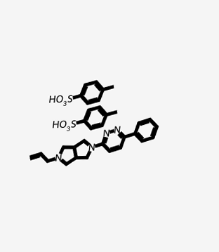 C=CCN1CC2CN(c3ccc(-c4ccccc4)nn3)CC2C1.Cc1ccc(S(=O)(=O)O)cc1.Cc1ccc(S(=O)(=O)O)cc1